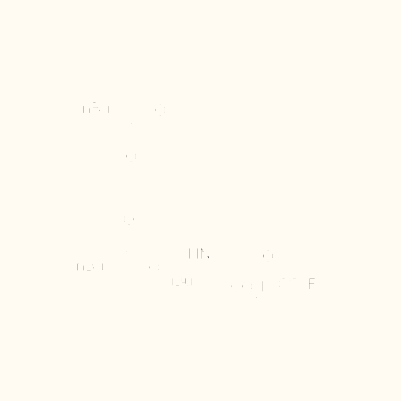 CCCCC(=O)Oc1ccc(C[C@](NC(C)CC)(OC(=O)OCC)C(=O)O)cc1OC(=O)CCCC